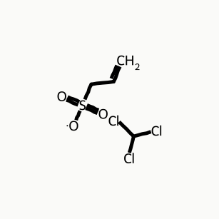 C=CCS([O])(=O)=O.ClC(Cl)Cl